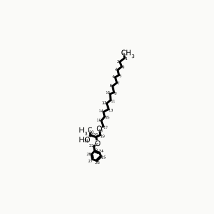 CCCCCCCCCCCCCCCCCCOCC(OCc1ccccc1)C(C)O